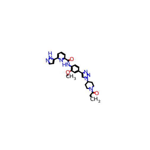 C=CC(=O)N1CCC(n2cc(-c3ccc(NC(=O)c4cccc(-c5ccn[nH]5)n4)c(OC)c3)nn2)CC1